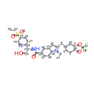 CCn1c(Cc2ccc3c(c2)OC(F)(F)O3)cc2cc(C(=O)NC(CO)c3ccc(S(=O)(=O)CC)cn3)ccc21